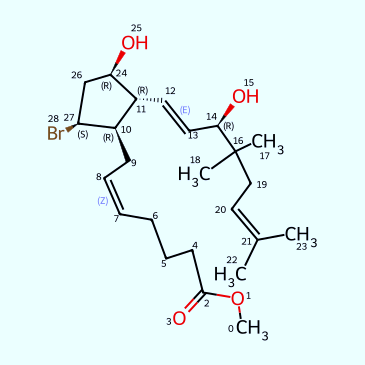 COC(=O)CCC/C=C\C[C@@H]1[C@@H](/C=C/[C@@H](O)C(C)(C)CC=C(C)C)[C@H](O)C[C@@H]1Br